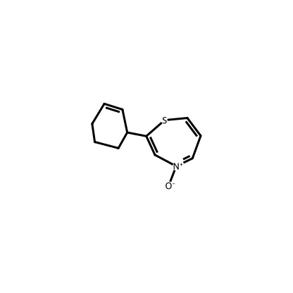 [O-][N+]1=CC=CSC(C2C=CCCC2)=C1